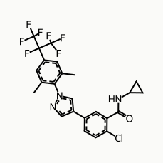 Cc1cc(C(F)(C(F)(F)F)C(F)(F)F)cc(C)c1-n1cc(-c2ccc(Cl)c(C(=O)NC3CC3)c2)cn1